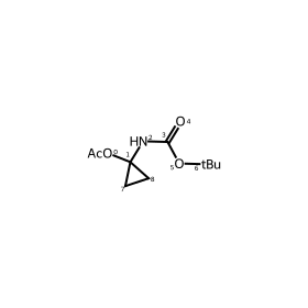 CC(=O)OC1(NC(=O)OC(C)(C)C)CC1